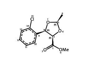 COC(=O)[C@@H]1O[C@H](C)O[C@@H]1c1ccccc1Cl